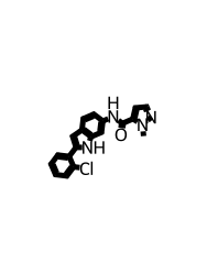 Cn1nccc1C(=O)Nc1ccc2cc(-c3ccccc3Cl)[nH]c2c1